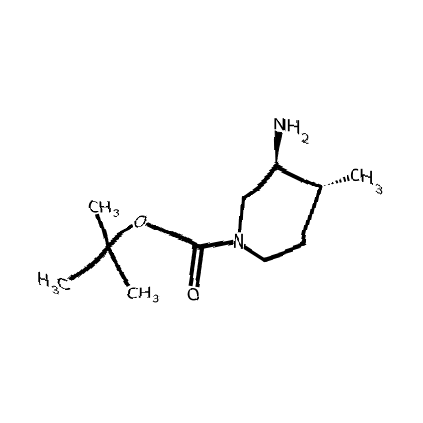 C[C@@H]1CCN(C(=O)OC(C)(C)C)C[C@H]1N